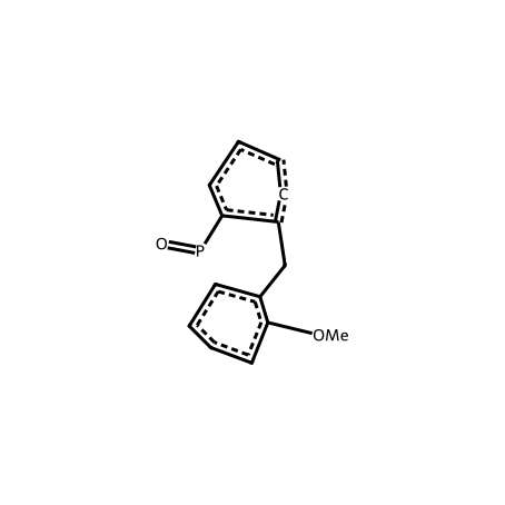 COc1ccccc1Cc1ccccc1P=O